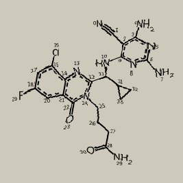 N#Cc1c(N)nc(N)nc1N[C@H](c1nc2c(Cl)cc(F)cc2c(=O)n1CCCC(N)=O)C1CC1